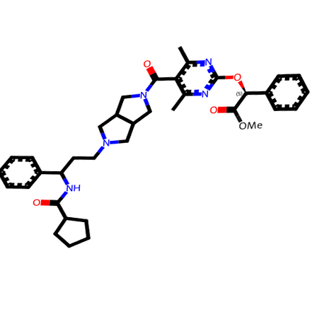 COC(=O)[C@@H](Oc1nc(C)c(C(=O)N2CC3CN(CCC(NC(=O)C4CCCC4)c4ccccc4)CC3C2)c(C)n1)c1ccccc1